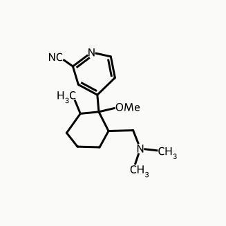 COC1(c2ccnc(C#N)c2)C(C)CCCC1CN(C)C